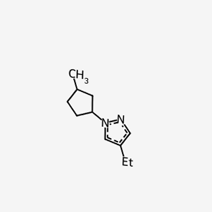 CCc1cnn(C2CCC(C)C2)c1